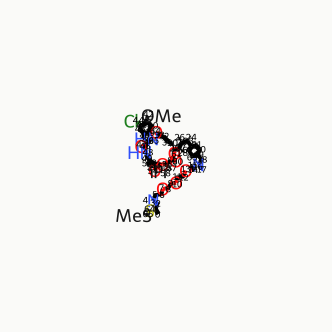 C=C(CN(C)CCOCCOCCOCCN(C)Cc1ccc([C@@H](C)[C@H](C)[C@@H](C)[C@@H]2C/C=C/C(=O)N[C@H](Cc3ccc(OC)c(Cl)c3)C(=O)NCC(C)(C)C(=O)O[C@@H](CC(C)C)C(=O)O2)cc1)SSC